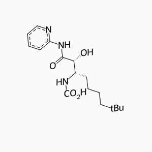 CC(C)(C)CCCC[C@H](NC(=O)O)[C@@H](O)C(=O)Nc1ccccn1